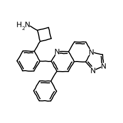 NC1CCC1c1ccccc1-c1nc2ccn3cnnc3c2cc1-c1ccccc1